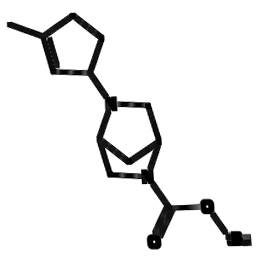 CC1=CC(N2CC3CC2CN3C(=O)OC(C)(C)C)CC1